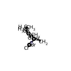 C=CCOc1cc(/C=C/c2ccc(Cl)cc2Br)cc(N(C)C(=O)C2CCN(C(=O)OC(C)(C)C)CC2)c1